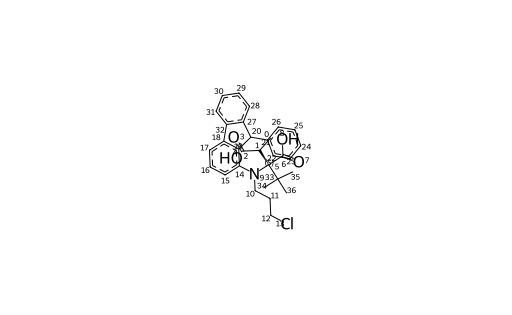 CC(C(=O)O)[C@](C(=O)O)(N(CCCCl)c1cccc2c1C(c1ccccc1)c1ccccc1-2)C(C)(C)C